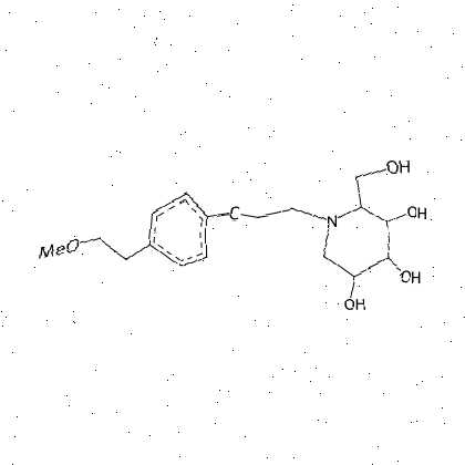 COCCc1ccc(CCCN2CC(O)C(O)C(O)C2CO)cc1